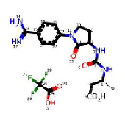 C[C@H](CC(=O)O)NC(=O)NC1CCN(c2ccc(C(=N)N)cc2)C1=O.O=C(O)C(F)(F)F